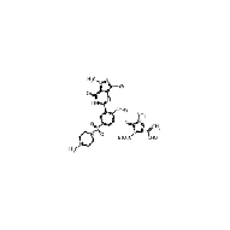 C=CC=O.CCCc1nn(C)c2c(=O)[nH]c(-c3cc(S(=O)(=O)N4CCN(C)CC4)ccc3OCC)nc12.CCOC(=O)n1ccn(C)c1=S